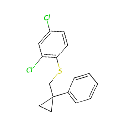 Clc1ccc(SCC2(c3ccccc3)CC2)c(Cl)c1